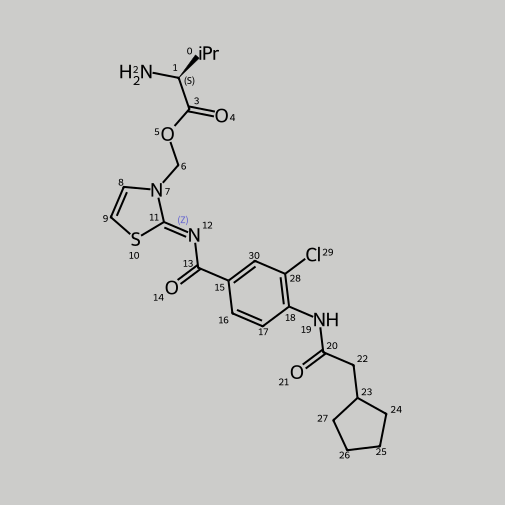 CC(C)[C@H](N)C(=O)OCn1ccs/c1=N\C(=O)c1ccc(NC(=O)CC2CCCC2)c(Cl)c1